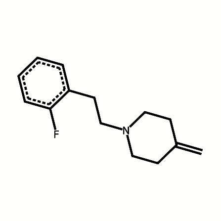 C=C1CCN(CCc2ccccc2F)CC1